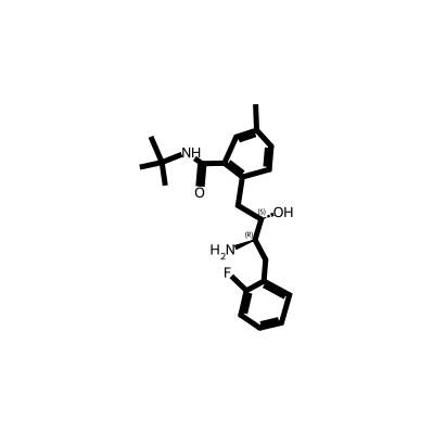 Cc1ccc(C[C@H](O)[C@H](N)Cc2ccccc2F)c(C(=O)NC(C)(C)C)c1